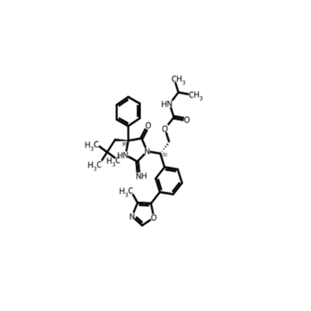 Cc1ncoc1-c1cccc([C@@H](COC(=O)NC(C)C)N2C(=N)N[C@](CC(C)(C)C)(c3ccccc3)C2=O)c1